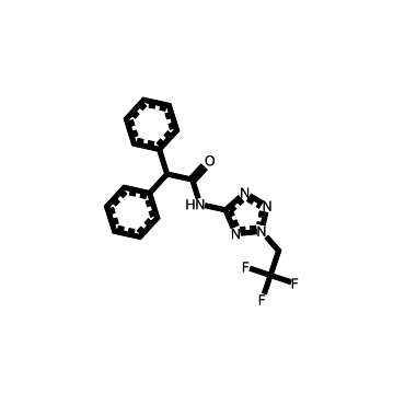 O=C(Nc1nnn(CC(F)(F)F)n1)C(c1ccccc1)c1ccccc1